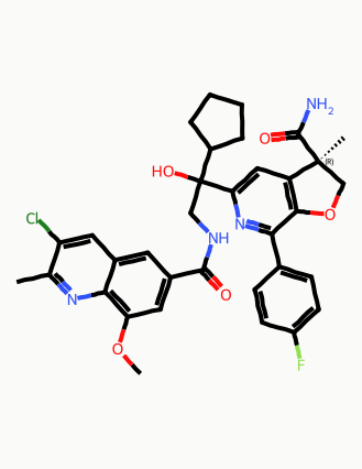 COc1cc(C(=O)NCC(O)(c2cc3c(c(-c4ccc(F)cc4)n2)OC[C@]3(C)C(N)=O)C2CCCC2)cc2cc(Cl)c(C)nc12